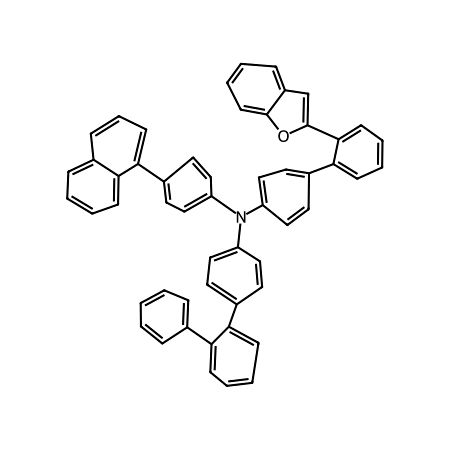 c1ccc(-c2ccccc2-c2ccc(N(c3ccc(-c4ccccc4-c4cc5ccccc5o4)cc3)c3ccc(-c4cccc5ccccc45)cc3)cc2)cc1